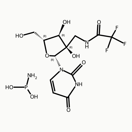 NP(O)O.O=C(NC[C@@]1(O)[C@H](O)[C@@H](CO)O[C@H]1n1ccc(=O)[nH]c1=O)C(F)(F)F